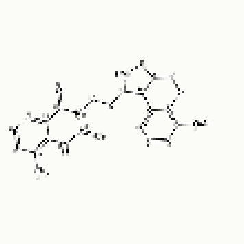 COc1cccc2c1CCC1CNC(CCn3c(=O)[nH]c4c(C)cccc4c3=O)C21